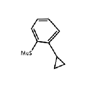 CSc1cc[c]cc1C1CC1